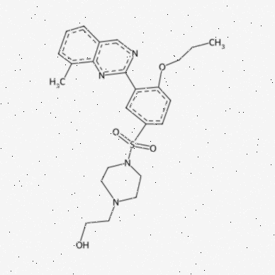 CCCOc1ccc(S(=O)(=O)N2CCN(CCO)CC2)cc1-c1ncc2cccc(C)c2n1